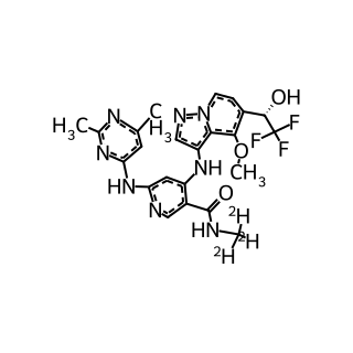 [2H]C([2H])([2H])NC(=O)c1cnc(Nc2cc(C)nc(C)n2)cc1Nc1cnn2ccc([C@H](O)C(F)(F)F)c(OC)c12